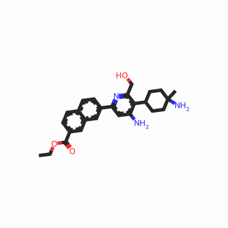 CCOC(=O)c1ccc2ccc(-c3cc(N)c(C4CCC(C)(N)CC4)c(CO)n3)cc2c1